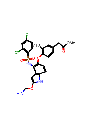 COC(=O)Cc1ccc(Oc2ccc3[nH]c(OCN)cc3c2NS(=O)(=O)c2ccc(Cl)cc2Cl)c(OC)c1